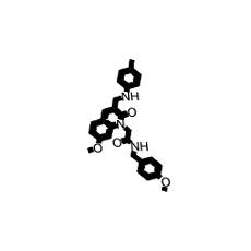 COc1ccc(CNC(=O)Cn2c(=O)c(CNc3ccc(C)cc3)cc3ccc(OC)cc32)cc1